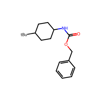 CC(C)(C)C1CCC(NC(=O)OCc2ccccc2)CC1